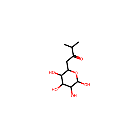 CC(C)C(=O)CC1OC(O)C(O)C(O)C1O